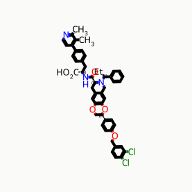 CC[C@@H](c1ccccc1)N1Cc2cc3c(cc2C[C@H]1C(=O)N[C@@H](Cc1ccc(-c2ccnc(C)c2C)cc1)C(=O)O)OC[C@@H](c1ccc(OCc2ccc(Cl)c(Cl)c2)cc1)O3